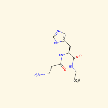 NCCC(=O)N[C@@H](Cc1cnc[nH]1)C(=O)NCC(=O)O